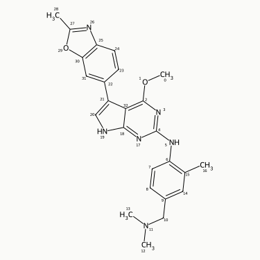 COc1nc(Nc2ccc(CN(C)C)cc2C)nc2[nH]cc(-c3ccc4nc(C)oc4c3)c12